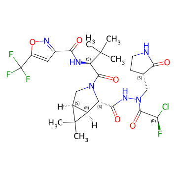 CC(C)(C)[C@H](NC(=O)c1cc(C(F)(F)F)on1)C(=O)N1C[C@H]2[C@@H]([C@H]1C(=O)NN(C[C@@H]1CCNC1=O)C(=O)[C@H](F)Cl)C2(C)C